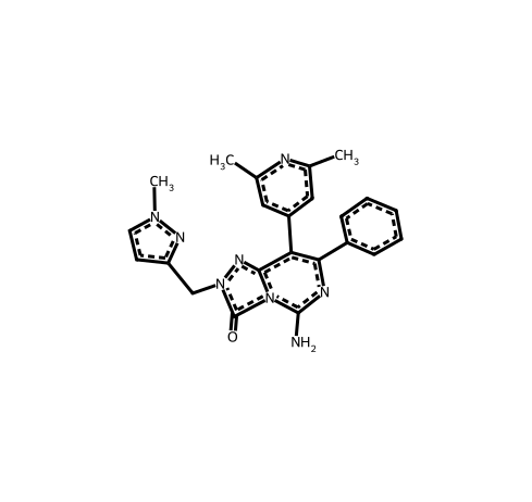 Cc1cc(-c2c(-c3ccccc3)nc(N)n3c(=O)n(Cc4ccn(C)n4)nc23)cc(C)n1